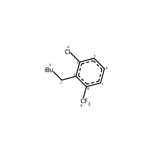 CCC(C)Cc1c(Cl)cccc1C(F)(F)F